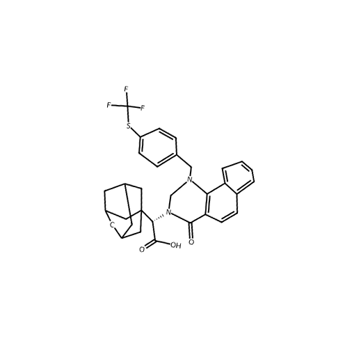 O=C(O)[C@@H](N1CN(Cc2ccc(SC(F)(F)F)cc2)c2c(ccc3ccccc23)C1=O)C12CC3CC(CC(C3)C1)C2